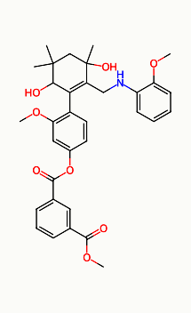 COC(=O)c1cccc(C(=O)Oc2ccc(C3=C(CNc4ccccc4OC)C(C)(O)CC(C)(C)C3O)c(OC)c2)c1